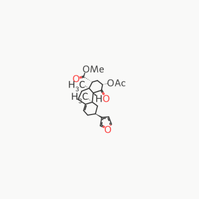 COC(=O)[C@@H]1C[C@H](OC(C)=O)C(=O)[C@H]2[C@@]1(C)CCC1=CC[C@H](c3ccoc3)C[C@@]12C